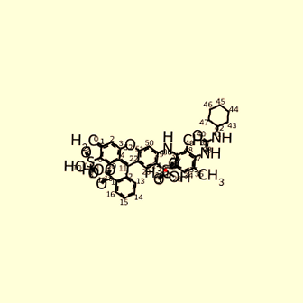 C=c1cc2c(cc1S(=O)(=O)O)=C(c1ccccc1S(=O)(=O)O)c1cc(S(=O)(=O)O)c(Nc3c(C)cc(C)c(NC(=O)NC4CCCCC4)c3C)cc1O2